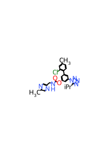 Cc1ccc(-c2cc(OC(=O)NCc3cnc(C)cn3)cc(-n3nnnc3C(C)C)c2)c(Cl)c1